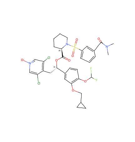 CN(C)C(=O)c1cccc(S(=O)(=O)N2CCCC[C@@H]2C(=O)O[C@@H](Cc2c(Cl)c[n+]([O-])cc2Cl)c2ccc(OC(F)F)c(OCC3CC3)c2)c1